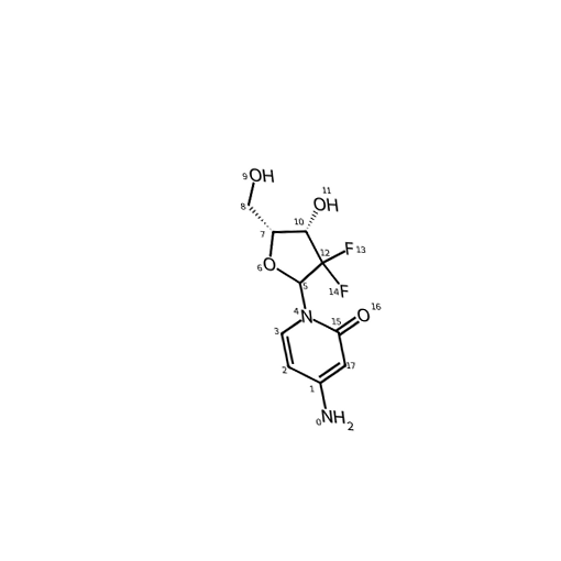 Nc1ccn(C2O[C@H](CO)[C@H](O)C2(F)F)c(=O)c1